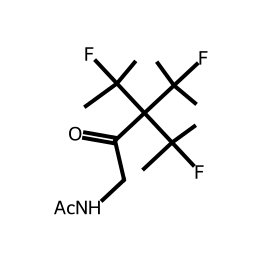 CC(=O)NCC(=O)C(C(C)(C)F)(C(C)(C)F)C(C)(C)F